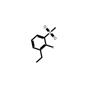 CCc1cccc(S(C)(=O)=O)c1I